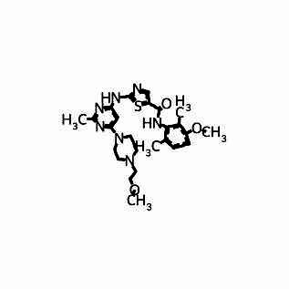 COCCN1CCN(c2cc(Nc3ncc(C(=O)Nc4c(C)ccc(OC)c4C)s3)nc(C)n2)CC1